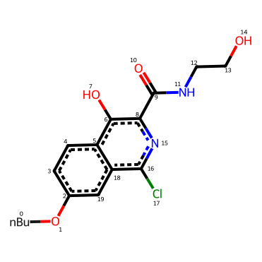 CCCCOc1ccc2c(O)c(C(=O)NCCO)nc(Cl)c2c1